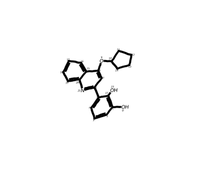 Oc1cccc(-c2cc(OC3CCCC3)c3ccccc3n2)c1O